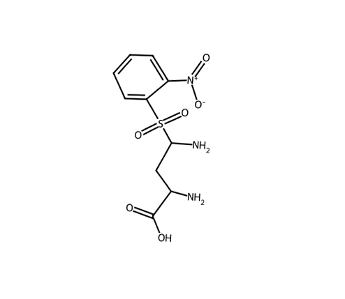 NC(CC(N)S(=O)(=O)c1ccccc1[N+](=O)[O-])C(=O)O